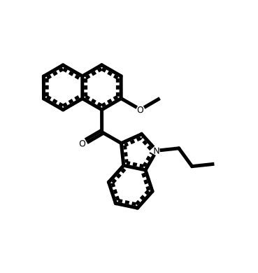 CCCn1cc(C(=O)c2c(OC)ccc3ccccc23)c2ccccc21